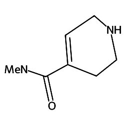 CNC(=O)C1=CCNCC1